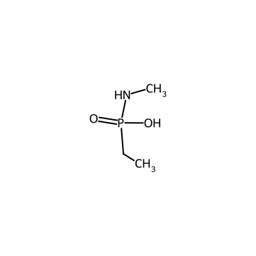 CCP(=O)(O)NC